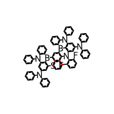 Fc1cccc(-c2ccccc2)c1N1c2cc(N(c3ccccc3)c3ccccc3)cc3c2B(c2ccccc2N3c2ccccc2)c2cc3c(c(F)c21)Sc1cc(N(c2ccccc2)c2ccccc2)cc2c1B3c1ccccc1N2c1ccccc1